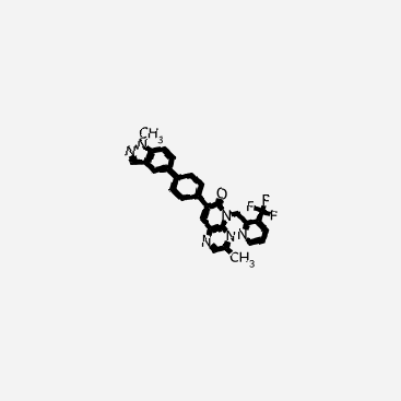 Cc1cnc2cc(C3CCC(c4ccc5c(cnn5C)c4)CC3)c(=O)n(Cc3ncccc3C(F)(F)F)c2n1